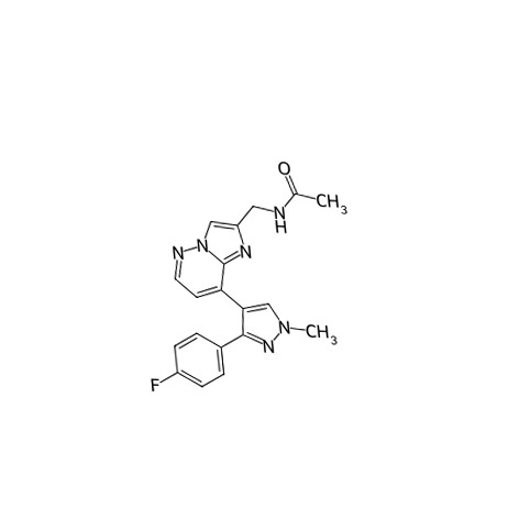 CC(=O)NCc1cn2nccc(-c3cn(C)nc3-c3ccc(F)cc3)c2n1